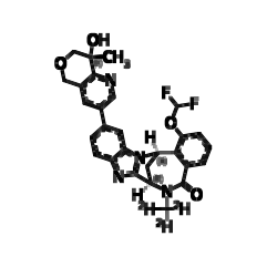 [2H]C([2H])([2H])N1C(=O)c2cccc(OC(F)F)c2[C@H]2C[C@@H]1c1nc3ccc(-c4cnc5c(c4)COC[C@]5(C)O)cc3n12